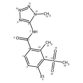 CCc1ccc(C(=O)Nc2nnnn2C)c(C)c1S(C)(=O)=O